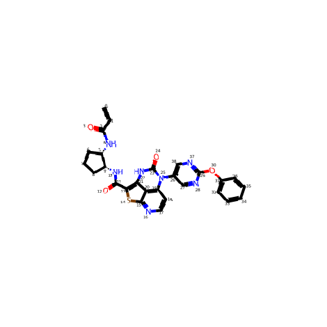 C=CC(=O)N[C@H]1CCC[C@H]1NC(=O)c1sc2nccc3c2c1NC(=O)N3c1cnc(Oc2ccccc2)nc1